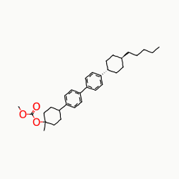 CCCCC[C@H]1CC[C@H](c2ccc(-c3ccc(C4CCC(C)(OC(=O)OC)CC4)cc3)cc2)CC1